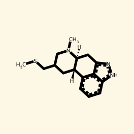 CSCC1C[C@H]2c3cccc4[nH]nc(c34)C[C@@H]2N(C)C1